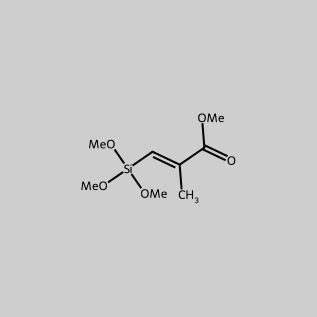 COC(=O)C(C)=C[Si](OC)(OC)OC